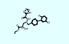 CCOC(=O)[C@H](O)CN(Cc1ccc(-c2cc(Cl)ccc2F)cc1)NC(=O)c1nnn[nH]1